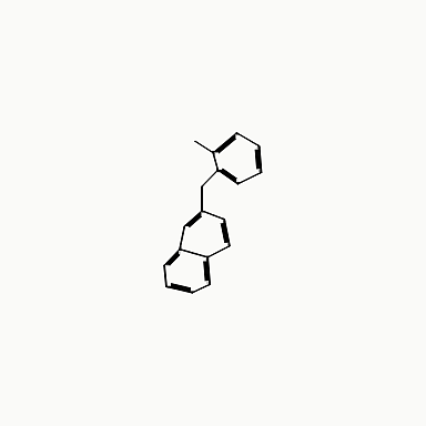 Cc1ccccc1Cc1[c]c2ccccc2cc1